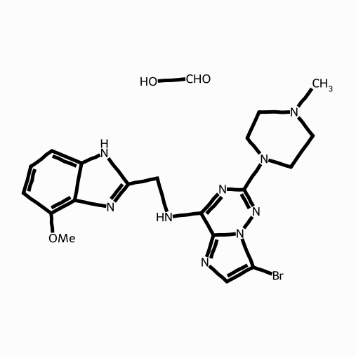 COc1cccc2[nH]c(CNc3nc(N4CCN(C)CC4)nn4c(Br)cnc34)nc12.O=CO